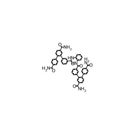 NC(=O)c1ccc(-c2ccc(C(N)=O)cc2-c2cccc(C(=O)Nc3ccccc3NC(=O)c3cccc(-c4cc(C(N)=O)ccc4-c4ccc(C(N)=O)cc4)c3)c2)cc1